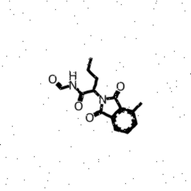 CCCC(C(=O)NC=O)N1C(=O)c2cccc(C)c2C1=O